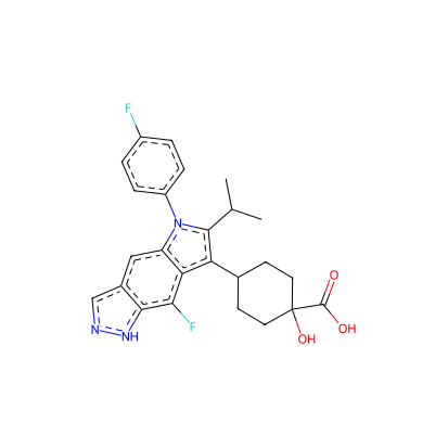 CC(C)c1c(C2CCC(O)(C(=O)O)CC2)c2c(F)c3[nH]ncc3cc2n1-c1ccc(F)cc1